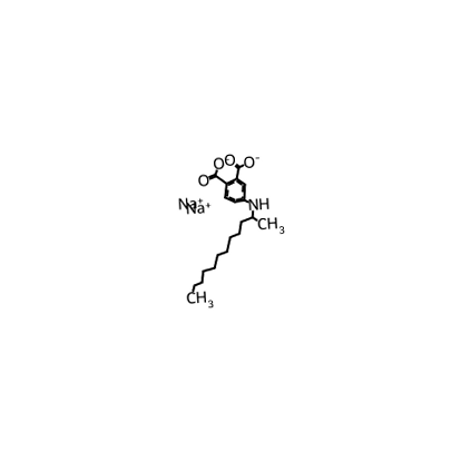 CCCCCCCCCCC(C)Nc1ccc(C(=O)[O-])c(C(=O)[O-])c1.[Na+].[Na+]